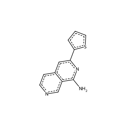 Nc1nc(-c2cccs2)cc2ccncc12